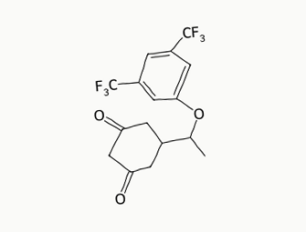 CC(Oc1cc(C(F)(F)F)cc(C(F)(F)F)c1)C1CC(=O)CC(=O)C1